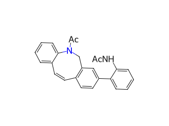 CC(=O)Nc1ccccc1-c1ccc2c(c1)CN(C(C)=O)c1ccccc1C=C2